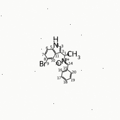 CC(c1c[nH]c2ccc(Br)cc12)/[N+]([O-])=C/c1ccccc1